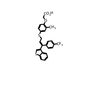 Cc1cc(SC/C=C(\c2ccc(C(F)(F)F)cc2)c2csc3ccccc23)ccc1OCC(=O)O